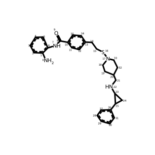 Nc1ccccc1NC(=O)c1ccc(CCSN2CCC(CNC3CC3c3ccccc3)CC2)cc1